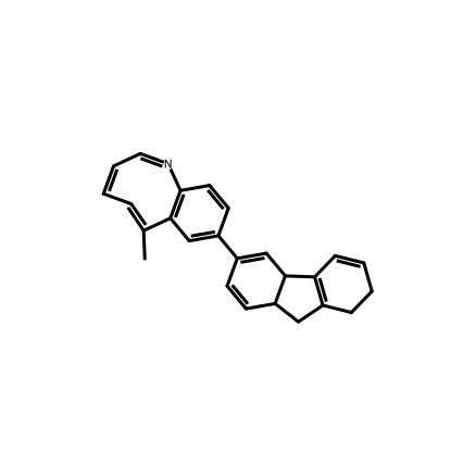 C\C1=C/C=C\C=N/c2ccc(C3=CC4C5=C(CCC=C5)CC4C=C3)cc21